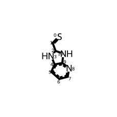 S=CC1Nc2cccnc2N1